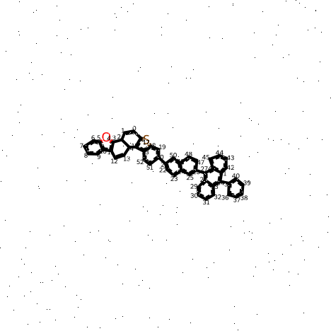 C1=CC2c3oc4ccccc4c3C=CC2c2c1sc1cc(-c3ccc4cc(-c5c6ccccc6c(-c6ccccc6)c6ccccc56)ccc4c3)ccc21